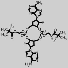 CC(C)(C)C(=O)OCOP1(=O)OCC2CC(n3cnc4c(N)ncnc43)C(F)C2OP(=O)(OCOC(=O)C(C)(C)C)OCC2CC(n3cnc4c(N)ncnc43)C(F)C2O1